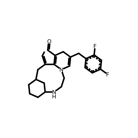 C/C=C1/CC2CCCC(C2)NCCN2C=C(Cc3ccc(F)cc3F)CC(C=O)=C12